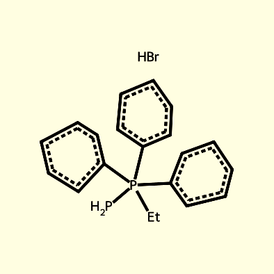 Br.CCP(P)(c1ccccc1)(c1ccccc1)c1ccccc1